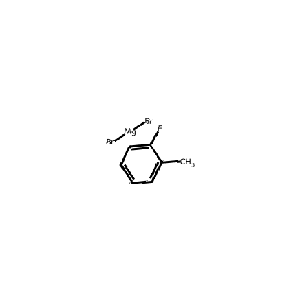 Cc1c[c]ccc1F.[Br][Mg][Br]